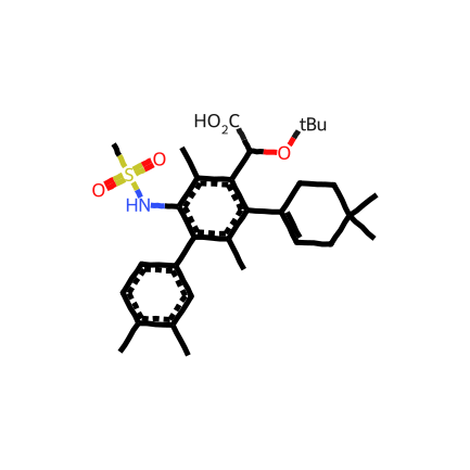 Cc1ccc(-c2c(C)c(C3=CCC(C)(C)CC3)c(C(OC(C)(C)C)C(=O)O)c(C)c2NS(C)(=O)=O)cc1C